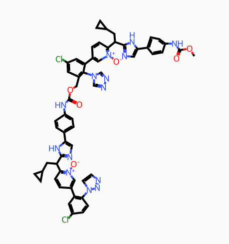 COC(=O)Nc1ccc(-c2cnc(C(CC3CC3)c3ccc(-c4cc(Cl)cc(COC(=O)Nc5ccc(-c6cnc(C(CC7CC7)c7ccc(-c8cc(Cl)ccc8-n8ccnn8)c[n+]7[O-])[nH]6)cc5)c4-n4cnnc4)c[n+]3[O-])[nH]2)cc1